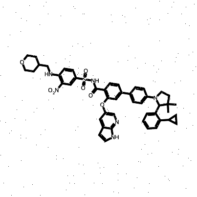 CC1(C)CCN(c2ccc(-c3ccc(C(=O)NS(=O)(=O)c4ccc(NCC5CCOCC5)c([N+](=O)[O-])c4)c(Oc4cnc5[nH]ccc5c4)c3)cc2)C1c1ccccc1C1CC1